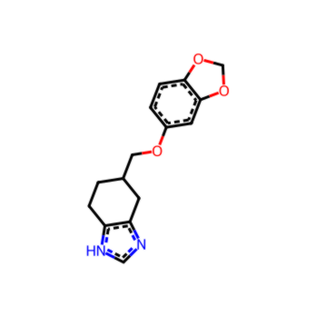 c1nc2c([nH]1)CCC(COc1ccc3c(c1)OCO3)C2